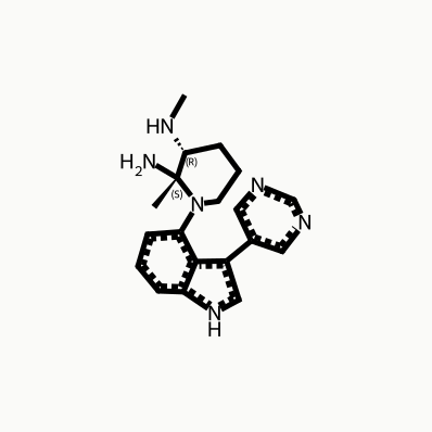 CN[C@@H]1CCCN(c2cccc3[nH]cc(-c4cncnc4)c23)[C@]1(C)N